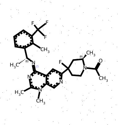 CC(=O)N1CCC(F)(c2cc3/c(=N/[C@H](C)c4cccc(C(F)(F)F)c4C)nc(C)n(C)c3cn2)C[C@H]1C